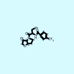 CC(C)CC(NC(=O)c1ccc(C(F)(F)F)cc1)C(=O)N1CCC2OCC(=O)C21